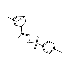 CC(=NNS(=O)(=O)c1ccc(C)cc1)C1CC2C=CC1N(C)C2